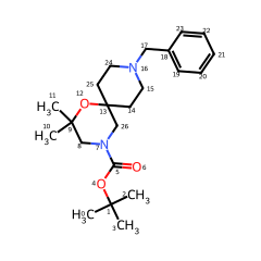 CC(C)(C)OC(=O)N1CC(C)(C)OC2(CCN(Cc3ccccc3)CC2)C1